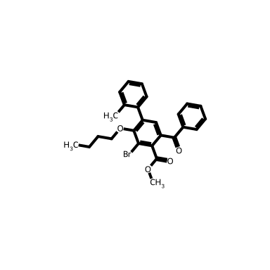 CCCCOc1c(-c2ccccc2C)cc(C(=O)c2ccccc2)c(C(=O)OC)c1Br